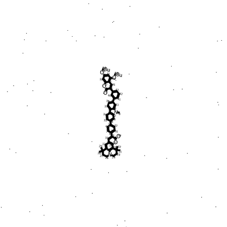 Cn1c2cc(-c3ccc(-c4cc5cc6c7c(c5oc4=O)C(C)(C)CCN7CCC6(C)C)cc3)ccc2c2ccc(-c3cccc(-c4cc5c(OC(C)(C)C)cc(OC(C)(C)C)cc5oc4=O)c3)cc21